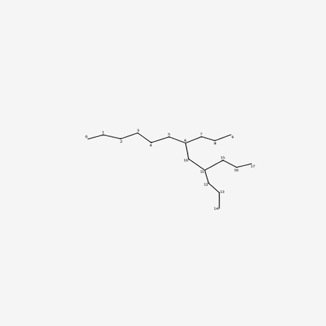 CCCCCCC(CCC)CC(CCC)CCC